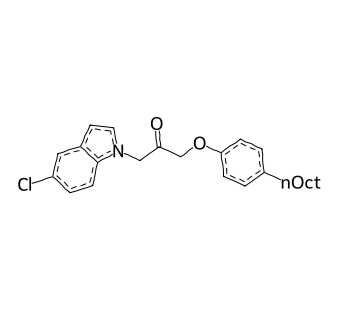 CCCCCCCCc1ccc(OCC(=O)Cn2ccc3cc(Cl)ccc32)cc1